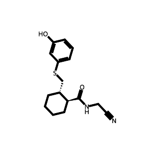 N#CCNC(=O)[C@H]1CCCC[C@@H]1CSc1cccc(O)c1